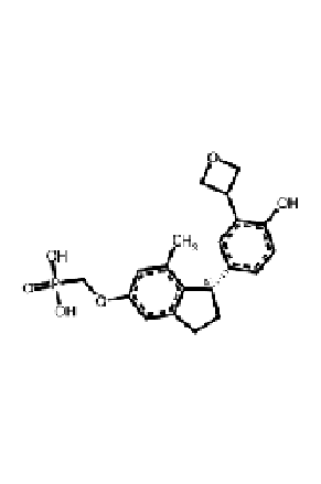 Cc1cc(OCP(=O)(O)O)cc2c1[C@H](c1ccc(O)c(C3COC3)c1)CC2